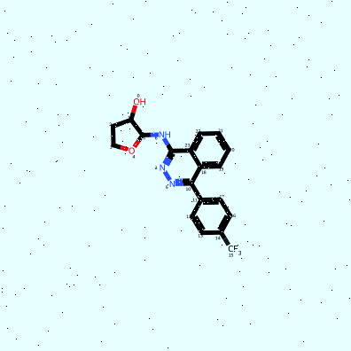 OC1CCOC1Nc1nnc(-c2ccc(C(F)(F)F)cc2)c2ccccc12